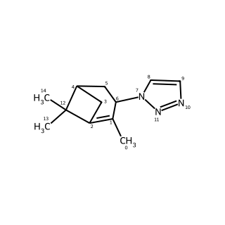 CC1=C2CC(CC1n1ccnn1)C2(C)C